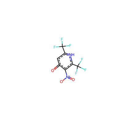 O=c1cc(C(F)(F)F)[nH]c(C(F)(F)F)c1[N+](=O)[O-]